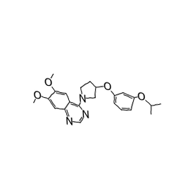 COc1cc2ncnc(N3CCC(Oc4cccc(OC(C)C)c4)C3)c2cc1OC